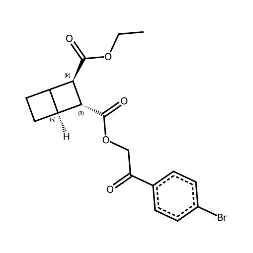 CCOC(=O)[C@@H]1C2CC[C@@H]2[C@H]1C(=O)OCC(=O)c1ccc(Br)cc1